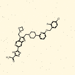 NC(=O)c1nnc(-c2cc3nc(CN4CCC(c5cccc(OCc6ccc(Cl)cc6F)n5)CC4)n(C[C@@H]4CCO4)c3cn2)[nH]1